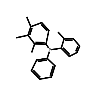 Cc1ccccc1P(c1ccccc1)c1ccc(C)c(C)c1C